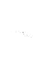 COc1ccccc1N1CCN(CCCN[C]=O)CC1